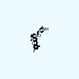 Cc1cc(F)ccc1Cc1cc2c(n(C)c1=O)C(C)(C)CN2C(=O)CN1CCN[C@H](C)C1